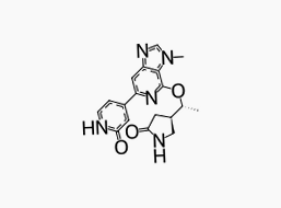 C[C@@H](Oc1nc(-c2cc[nH]c(=O)c2)cc2ncn(C)c12)[C@H]1CNC(=O)C1